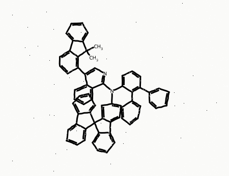 CC1(C)c2ccccc2-c2cccc(-c3cnc(N(c4ccc5c(c4)C4(c6ccccc6-c6ccccc64)c4ccccc4-5)c4cccc(-c5ccccc5)c4-c4ccccc4)c4ccccc34)c21